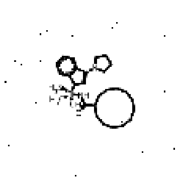 [CH3][Ti]([CH3])([SiH3])([NH]C(=O)C1CCCCCCCCCCC1)[CH]1C=C(N2CCCC2)c2ccccc21